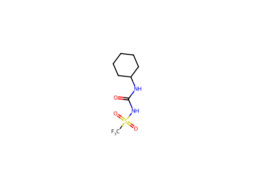 O=C(NC1CCCCC1)NS(=O)(=O)C(F)(F)F